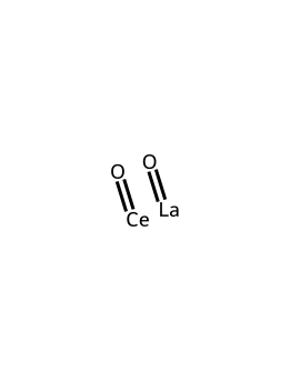 [O]=[Ce].[O]=[La]